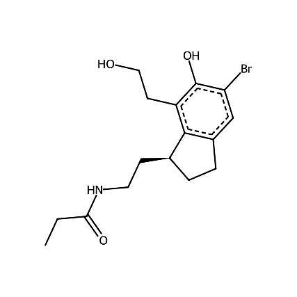 CCC(=O)NCC[C@@H]1CCc2cc(Br)c(O)c(CCO)c21